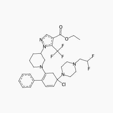 CCOC(=O)c1cnn(C2CCCN(C3=C(c4ccccc4)C=CC(Cl)(N4CCN(CC(F)F)CC4)C3)C2)c1C(F)(F)F